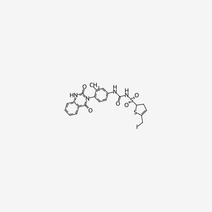 Cc1cc(NC(=O)NS(=O)(=O)C2CC=C(CI)S2)ccc1-n1c(=O)[nH]c2ccccc2c1=O